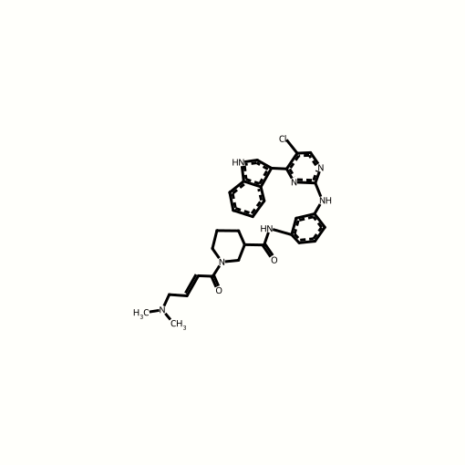 CN(C)C/C=C/C(=O)N1CCCC(C(=O)Nc2cccc(Nc3ncc(Cl)c(-c4c[nH]c5ccccc45)n3)c2)C1